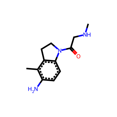 CNCC(=O)N1CCc2c1ccc(N)c2C